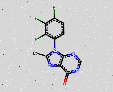 CCc1nc2c(=O)[nH]cnc2n1-c1ccc(F)c(F)c1F